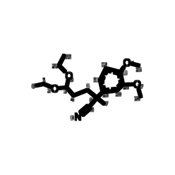 CCOC(CCC(C)(C#N)c1ccc(OC)c(OC)c1)OCC